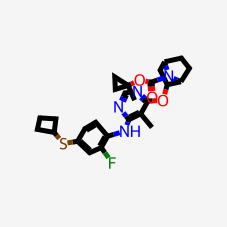 Cc1c(Nc2ccc(SC3CCC3)cc2F)ncnc1OC1CC2CCC1N2C(=O)OC1(C)CC1